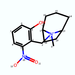 C[N+]1(Cc2c(O)cccc2[N+](=O)[O-])C2C[CH]CC1CC2